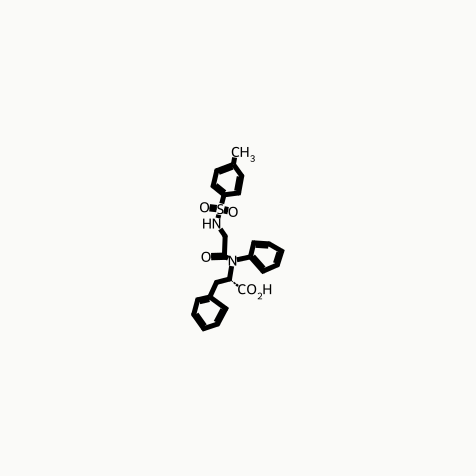 Cc1ccc(S(=O)(=O)NCC(=O)N(c2ccccc2)[C@@H](Cc2ccccc2)C(=O)O)cc1